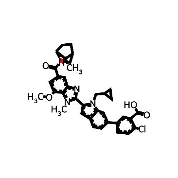 COc1cc(C(=O)N2CC3CCC2[C@@H]3C)cc2nc(-c3cc4ccc(-c5ccc(Cl)c(C(=O)O)c5)cc4n3CC3CC3)n(C)c12